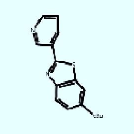 CC(C)(C)c1ccc2nc(-c3cccnc3)sc2c1